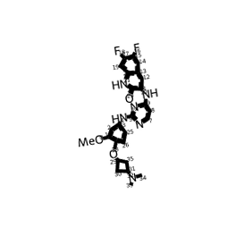 COc1cc(Nc2nccc(Nc3cc4cc(F)c(F)cc4[nH]c3=O)n2)ccc1OC1CC(N(C)C)C1